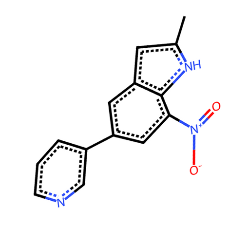 Cc1cc2cc(-c3cccnc3)cc([N+](=O)[O-])c2[nH]1